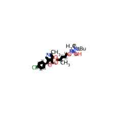 Cc1ncc2c(c1OC(=O)C(C)CCCO/N=[N+](\O)N(C)C(C)(C)C)CO[C@H]2c1ccc(Cl)cc1